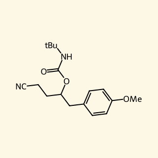 COc1ccc(CC(CCC#N)OC(=O)NC(C)(C)C)cc1